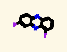 Ic1ccc2nc3cccc(I)c3nc2c1